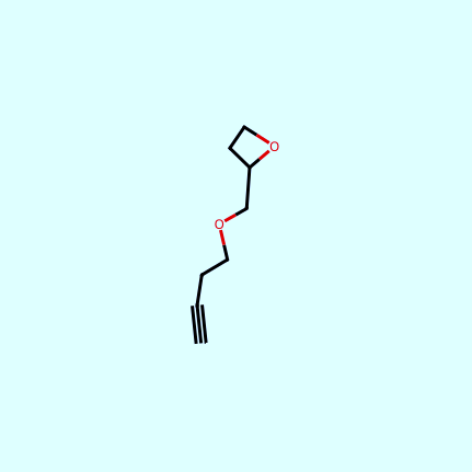 [C]#CCCOCC1CCO1